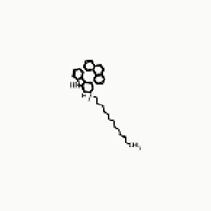 CCCCCCCCCCCCCC.c1ccc2c(c1)[nH]c1ccccc12.c1ccc2c(c1)ccc1ccccc12